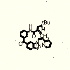 Cn1nc(C(C)(C)C)cc1C(=O)Nc1cccc(C(=O)c2ccc3cnn(C=Cc4ccccn4)c3c2)c1